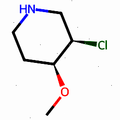 CO[C@H]1CCNC[C@H]1Cl